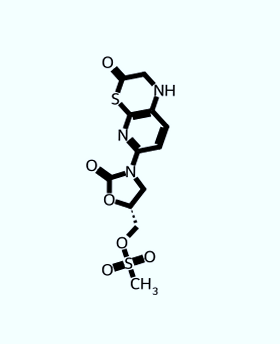 CS(=O)(=O)OC[C@H]1CN(c2ccc3c(n2)SC(=O)CN3)C(=O)O1